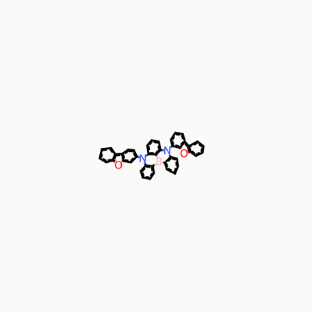 c1ccc2c(c1)B1c3ccccc3N(c3cccc4c3oc3ccccc34)c3cccc(c31)N2c1ccc2c(c1)oc1ccccc12